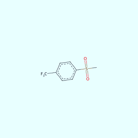 CS(=O)(=O)c1ccc(C(F)(F)F)cc1